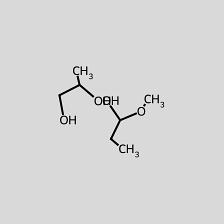 CC(O)CO.CCC(O)OC